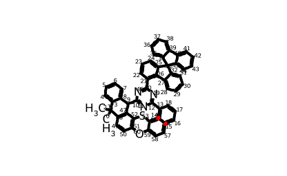 CC1(C)c2ccccc2C(c2nc(-c3ccccc3)nc(-c3cccc4c3-c3ccccc3C43c4ccccc4-c4ccccc43)n2)c2c1ccc1c2Sc2ccccc2O1